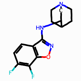 Fc1ccc2c(NC3CN4CCC3CC4)noc2c1F